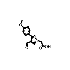 COc1ccc(-c2nn(CC(=O)O)cc2C=O)cc1